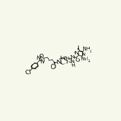 Nc1nc(N)c(C(=O)/N=C2\NCC3(CCN(C(=O)CCCc4nc(-c5ccc(Cl)cc5)no4)CC3)N2)nc1I